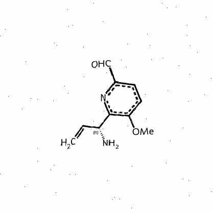 C=C[C@@H](N)c1nc(C=O)ccc1OC